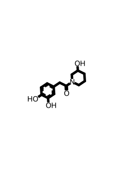 O=C(Cc1ccc(O)c(O)c1)N1CCCC(O)C1